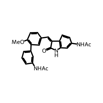 COc1ccc(C=C2C(=O)Nc3cc(NC(C)=O)ccc32)cc1-c1cccc(NC(C)=O)c1